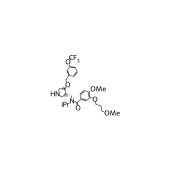 COCCCOc1cc(C(=O)N(C[C@@H]2CNC[C@H]2OCc2cccc(OC(F)(F)F)c2)C(C)C)ccc1OC